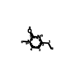 CCc1ccn(C)c(=O)n1